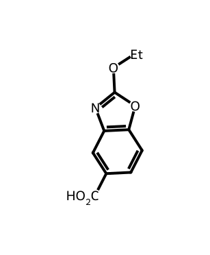 CCOc1nc2cc(C(=O)O)ccc2o1